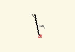 CCCCCCCCCCCCCCCC=CC(=O)O.[BaH2]